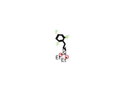 CCO[SiH](CCCc1c(F)cc(F)cc1F)OCC